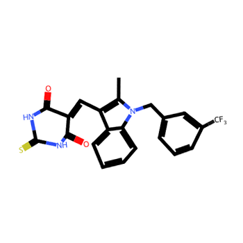 Cc1c(C=C2C(=O)NC(=S)NC2=O)c2ccccc2n1Cc1cccc(C(F)(F)F)c1